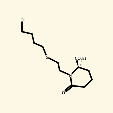 CCOC(=O)[C@H]1CCCC(=O)N1CCSCCCCO